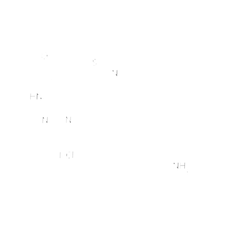 Cl.Nc1ccc(-c2nsc3c(=O)[nH]nnc23)cc1